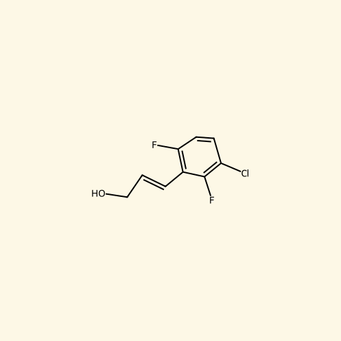 OCC=Cc1c(F)ccc(Cl)c1F